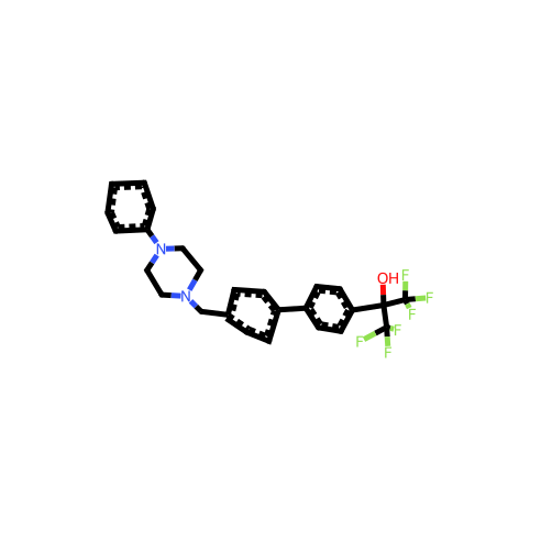 OC(c1ccc(-c2ccc(CN3CCN(c4ccccc4)CC3)cc2)cc1)(C(F)(F)F)C(F)(F)F